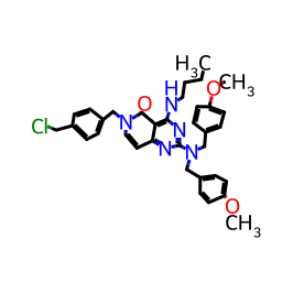 CCCCNc1nc(N(Cc2ccc(OC)cc2)Cc2ccc(OC)cc2)nc2ccn(Cc3ccc(CCl)cc3)c(=O)c12